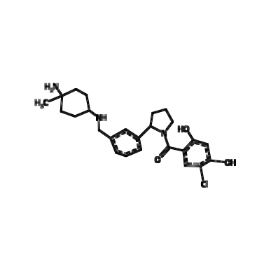 CC1(N)CCC(NCc2cccc(C3CCCN3C(=O)c3cc(Cl)c(O)cc3O)c2)CC1